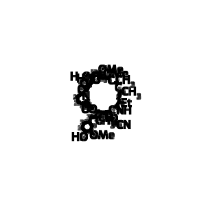 CC[C@@H]1/C=C(\C)C[C@H](C)C[C@H](OC)[C@H]2O[C@@](O)(C(=O)C(=O)N3CCCC[C@H]3C(=O)O[C@H](/C(C)=C/[C@@H]3CC[C@@H](O)[C@H](OC)C3)[C@H](C)[C@@H](OOCC#N)CC1=N)[C@H](C)C[C@@H]2OC